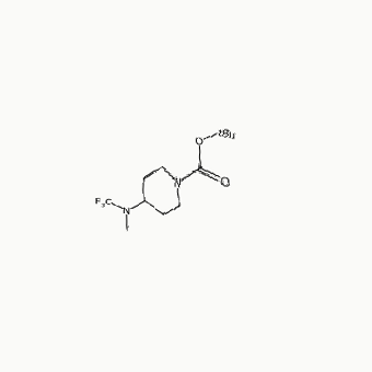 CN(C1CCN(C(=O)OC(C)(C)C)CC1)C(F)(F)F